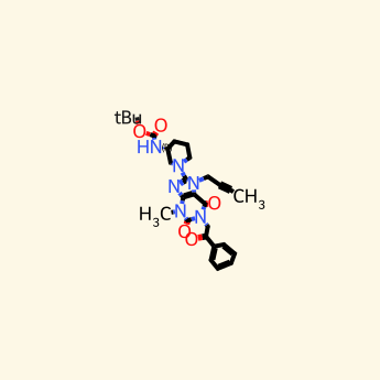 CC#CCn1c(N2CCC[C@@H](NC(=O)OC(C)(C)C)C2)nc2c1c(=O)n(CC(=O)c1ccccc1)c(=O)n2C